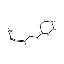 CN=C=NCCN1CCOCC1